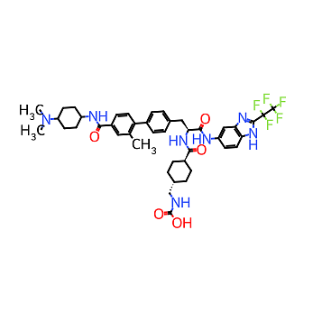 Cc1cc(C(=O)NC2CCC(N(C)C)CC2)ccc1-c1ccc(C[C@H](NC(=O)[C@H]2CC[C@H](CNC(=O)O)CC2)C(=O)Nc2ccc3[nH]c(C(F)(F)C(F)(F)F)nc3c2)cc1